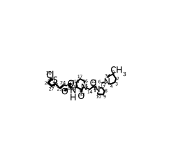 CC1CCCN(C[C@@H]2CCCN2C(=O)CN2CCC[C@H](NS(=O)(=O)/C=C/c3ccc(Cl)s3)C2=O)C1